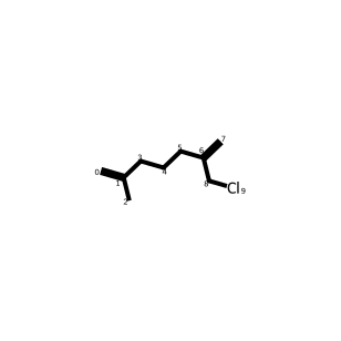 C=C(C)CCCC(=C)CCl